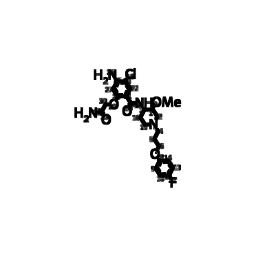 CO[C@@H]1CN(CCCOc2ccc(F)cc2)CC[C@@H]1NC(=O)c1cc(Cl)c(N)cc1OCC(N)=O